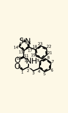 O=C[C@H](Cc1ccccc1)NC(=O)c1csnc1-c1ccccc1